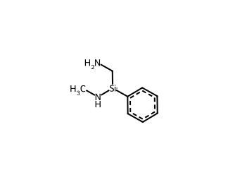 CN[Si](CN)c1ccccc1